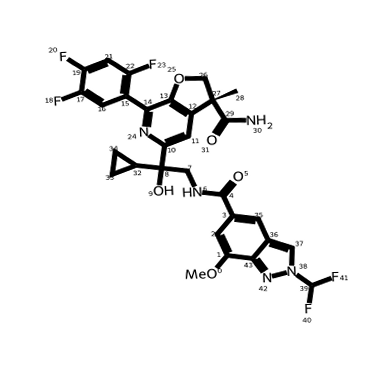 COc1cc(C(=O)NCC(O)(c2cc3c(c(-c4cc(F)c(F)cc4F)n2)OC[C@]3(C)C(N)=O)C2CC2)cc2cn(C(F)F)nc12